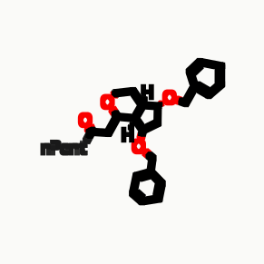 CCCCCC(=O)CC1OCC[C@@H]2[C@H]1C(OCc1ccccc1)C[C@H]2OCc1ccccc1